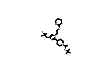 CC(C)(C)OC(=O)N1CCC(c2nc(CC(F)(F)F)cn2CCOC2CCCCO2)CC1